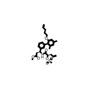 C=CCCCOc1cc(C)cc(C)c1-c1cccc([C@H](CC(=O)OC)NC(=O)[C@@H](CC=C)OS(C)(=O)=O)c1